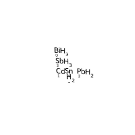 [BiH3].[Cd].[PbH2].[SbH3].[SnH2]